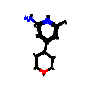 Cc1[c]c(C2CCOCC2)cc(N)n1